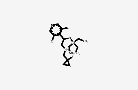 CC[Si](CC)(CC)OC(CNCC1(F)CC1)c1c(Cl)cncc1Cl